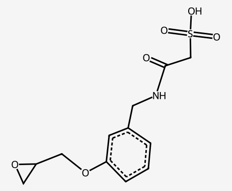 O=C(CS(=O)(=O)O)NCc1cccc(OCC2CO2)c1